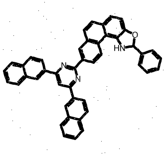 c1ccc(C2Nc3c(ccc4ccc5cc(-c6nc(-c7ccc8ccccc8c7)cc(-c7ccc8ccccc8c7)n6)ccc5c34)O2)cc1